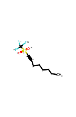 CCCCCCC#CS(=O)(=O)C(F)(F)F